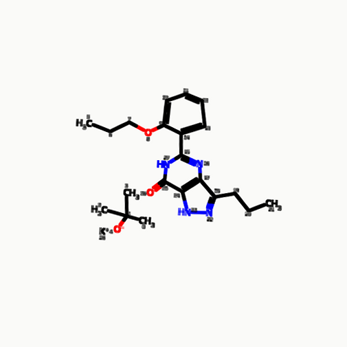 CC(C)(C)[O-].CCCOc1ccccc1-c1nc2c(CCC)n[nH]c2c(=O)[nH]1.[K+]